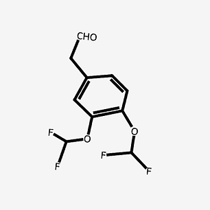 O=CCc1ccc(OC(F)F)c(OC(F)F)c1